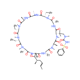 C/C=C/C[C@@H](C)[C@H]1ON2C(=O)[C@H](C(C)C)N(C)C(=O)[C@H](CC(C)C)N(C)C(=O)[C@H](CC(C)C)N(C)C(=O)[C@@H](C)NC(=O)[C@H](C)NC(=O)[C@H](CC(C)C)N(C)C(=O)[C@H](C(C)C)NC(=O)[C@H](C(C)(C)CN(C)C(=O)NS(=O)(=O)c3ccccc3)N(C)C(=O)[C@@H](C)N(C)C(=O)[C@H](CC)NC(=O)[C@H]12